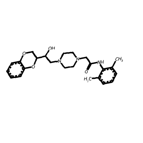 Cc1cccc(C)c1NC(=O)CN1CCN(CC(O)C2COc3ccccc3O2)CC1